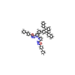 c1ccc(-c2ccc(-c3nnc(-c4cccc(-c5cccc(-c6nnc(-c7ccc(-c8ccccc8)cc7)o6)n5)n4)o3)cc2)cc1.c1ccc(-c2ccc3c(-c4ccc5ccccc5c4)c4ccccc4c(-c4ccc5ccccc5c4)c3c2)cc1